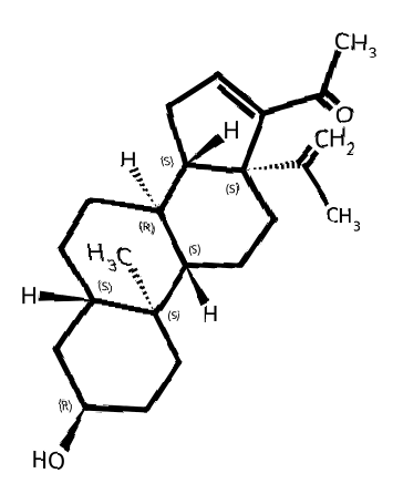 C=C(C)[C@]12CC[C@H]3[C@@H](CC[C@H]4C[C@H](O)CC[C@@]43C)[C@@H]1CC=C2C(C)=O